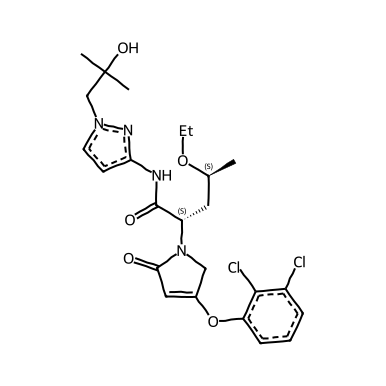 CCO[C@@H](C)C[C@@H](C(=O)Nc1ccn(CC(C)(C)O)n1)N1CC(Oc2cccc(Cl)c2Cl)=CC1=O